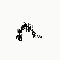 COc1ccc(CNCCCC(C)(C)C(=O)N2CCC(n3cc(-c4cnc5ccccc5n4)cn3)CC2)cc1